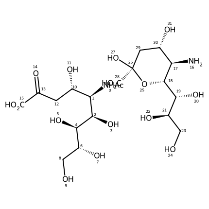 CC(=O)N[C@@H]([C@@H](O)[C@H](O)[C@H](O)CO)[C@@H](O)CC(=O)C(=O)O.N[C@H]1[C@H]([C@H](O)[C@H](O)CO)O[C@](O)(C(=O)O)C[C@@H]1O